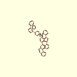 c1ccc(-c2ccc(-c3ccccc3N(c3ccc(-c4ccc5c(ccc6ccccc65)c4)cc3)c3ccc(-c4cccc5c4oc4ccccc45)cc3)cc2)cc1